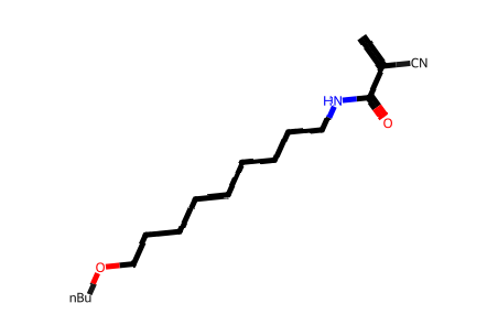 C=C(C#N)C(=O)NCCCCCCCCCOCCCC